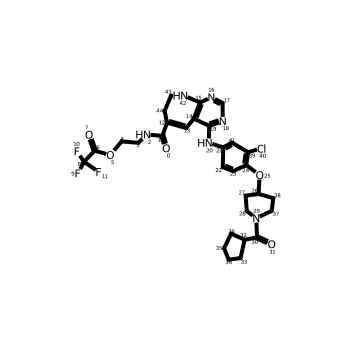 O=C(NCCOC(=O)C(F)(F)F)C1=Cc2c(ncnc2Nc2ccc(OC3CCN(C(=O)C4CCCC4)CC3)c(Cl)c2)NCC1